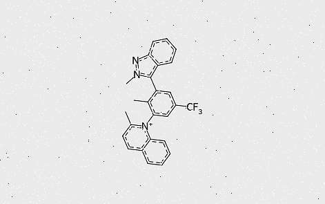 Cc1c(-c2c3ccccc3nn2C)cc(C(F)(F)F)cc1-[n+]1c(C)ccc2ccccc21